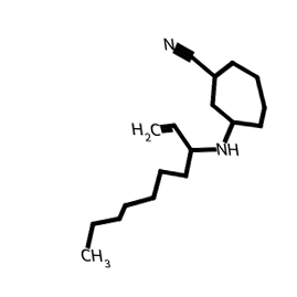 C=CC(CCCCCCC)NC1CCCCC(C#N)C1